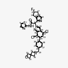 O=C(Nc1nccs1)C(c1ncn2c1C[C@@H](F)C2)n1cc2c(Cl)cc(-c3ccc(CN4CC5(COC5)C4)cc3)c(Cl)c2n1